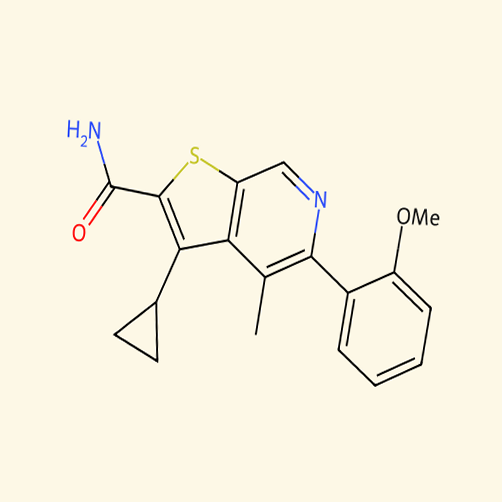 COc1ccccc1-c1ncc2sc(C(N)=O)c(C3CC3)c2c1C